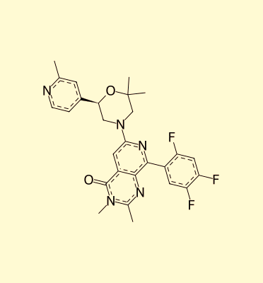 Cc1cc([C@@H]2CN(c3cc4c(=O)n(C)c(C)nc4c(-c4cc(F)c(F)cc4F)n3)CC(C)(C)O2)ccn1